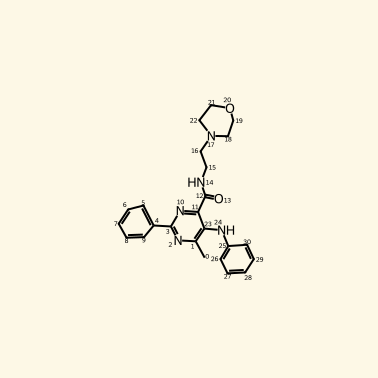 Cc1nc(-c2ccccc2)nc(C(=O)NCCN2CCOCC2)c1Nc1ccccc1